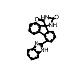 O=C1NC(=O)C2(N1)c1ccccc1-c1c(-c3nc4ccccc4[nH]3)cccc12